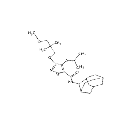 COCC(C)(C)COc1noc(C(=O)NC2C3CC4CC(C3)CC2C4)c1SC(C)C